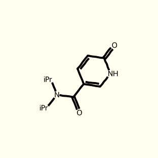 CC(C)N(C(=O)c1ccc(=O)[nH]c1)C(C)C